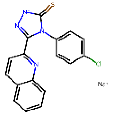 S=c1[n-]nc(-c2ccc3ccccc3n2)n1-c1ccc(Cl)cc1.[Na+]